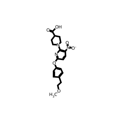 COCCc1ccc(Oc2ccc([N+](=O)[O-])c(N3CCC(C(=O)O)CC3)n2)cc1